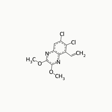 C=Cc1c(Cl)c(Cl)cc2nc(OC)c(OC)nc12